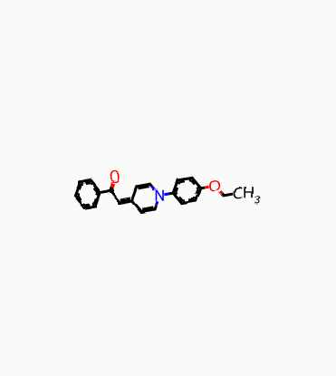 CCOc1ccc(N2C=CC(=CC(=O)c3ccccc3)C=C2)cc1